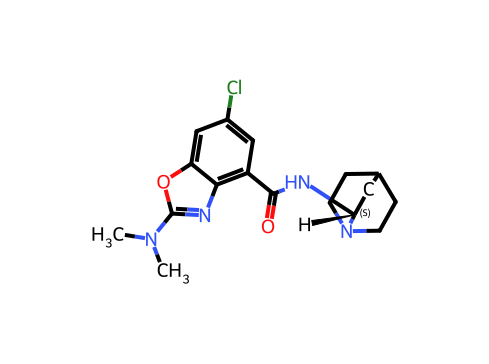 CN(C)c1nc2c(C(=O)N[C@@H]3CC4CCN3CC4)cc(Cl)cc2o1